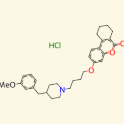 COc1cccc(CC2CCN(CCCCOc3ccc4c5c(c(=O)oc4c3)CCCC5)CC2)c1.Cl